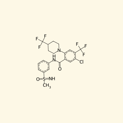 CS(=N)(=O)c1cccc(NC(=O)c2cc(Cl)c(C(F)(F)F)cc2N2CCC(C(F)(F)F)CC2)c1